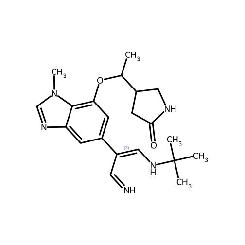 CC(Oc1cc(/C(C=N)=C/NC(C)(C)C)cc2ncn(C)c12)C1CNC(=O)C1